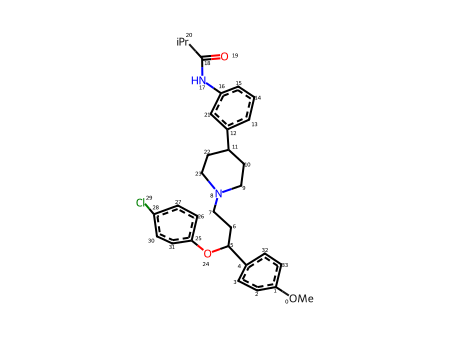 COc1ccc(C(CCN2CCC(c3cccc(NC(=O)C(C)C)c3)CC2)Oc2ccc(Cl)cc2)cc1